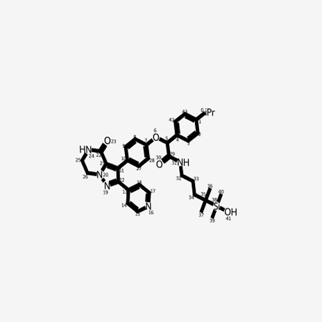 CC(C)c1ccc(C(Oc2ccc(-c3c(-c4ccncc4)nn4c3C(=O)NCC4)cc2)C(=O)NCCCC(C)(C)[Si](C)(C)O)cc1